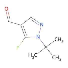 CC(C)(C)n1ncc(C=O)c1F